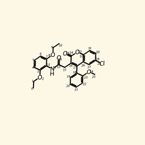 CCOc1cccc(OCC)c1NC(=O)Cc1c(-c2ccccc2OC)c2cc(Cl)ccc2oc1=O